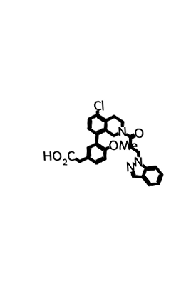 COc1ccc(CC(=O)O)cc1-c1ccc(Cl)c2c1CN(C(=O)CCn1ncc3ccccc31)CC2